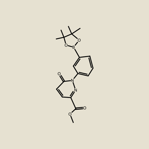 COC(=O)c1ccc(=O)n(-c2cccc(B3OC(C)(C)C(C)(C)O3)c2)n1